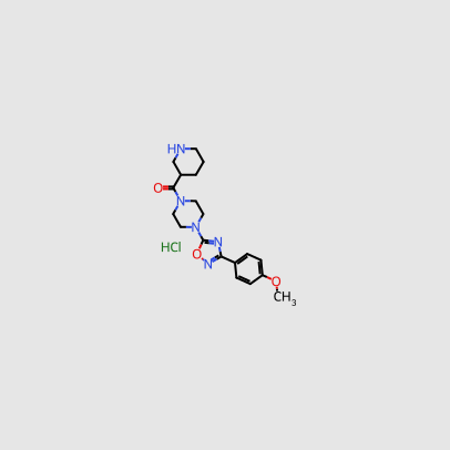 COc1ccc(-c2noc(N3CCN(C(=O)C4CCCNC4)CC3)n2)cc1.Cl